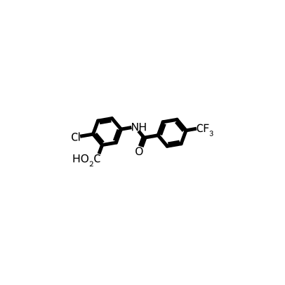 O=C(Nc1ccc(Cl)c(C(=O)O)c1)c1ccc(C(F)(F)F)cc1